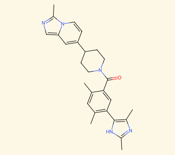 Cc1nc(C)c(-c2cc(C(=O)N3CCC(c4ccn5c(C)ncc5c4)CC3)c(C)cc2C)[nH]1